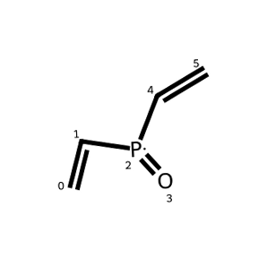 C=C[P](=O)C=C